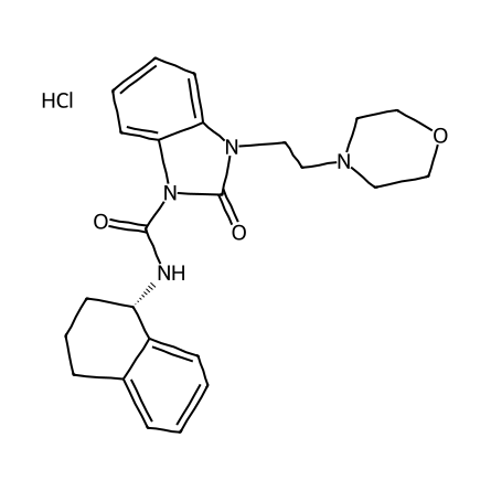 Cl.O=C(N[C@H]1CCCc2ccccc21)n1c(=O)n(CCN2CCOCC2)c2ccccc21